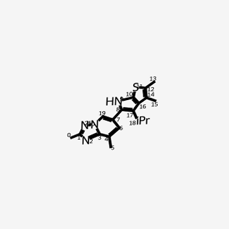 Cc1nc2c(C)cc(-c3[nH]c4sc(C)c(C)c4c3C(C)C)cn2n1